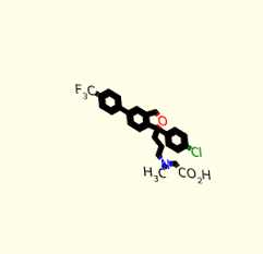 CN(CCCC1(c2ccc(Cl)cc2)OCc2cc(-c3ccc(C(F)(F)F)cc3)ccc21)CC(=O)O